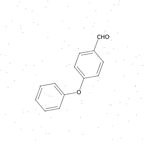 O=[C]c1ccc(Oc2ccccc2)cc1